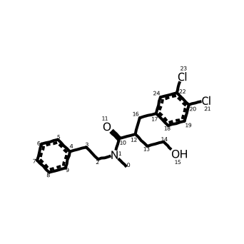 CN(CCc1ccccc1)C(=O)C(CCO)Cc1ccc(Cl)c(Cl)c1